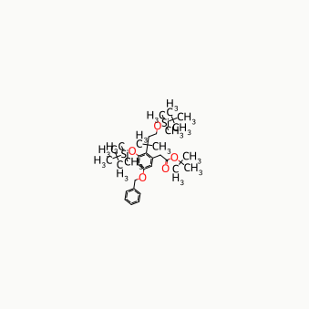 CC(C)(C)OC(=O)Cc1cc(OCc2ccccc2)cc(O[Si](C)(C)C(C)(C)C)c1C(C)(C)CCO[Si](C)(C)C(C)(C)C